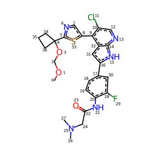 COCOC1(c2ncc(-c3c(Cl)cnc4[nH]c(-c5ccc(NC(=O)CN(C)C)c(F)c5)cc34)s2)CCC1